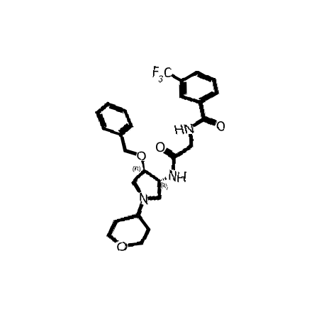 O=C(CNC(=O)c1cccc(C(F)(F)F)c1)N[C@@H]1CN(C2CCOCC2)C[C@H]1OCc1ccccc1